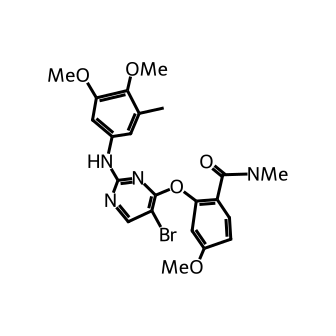 CNC(=O)c1ccc(OC)cc1Oc1nc(Nc2cc(C)c(OC)c(OC)c2)ncc1Br